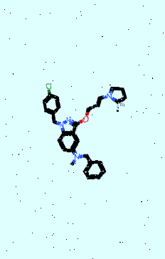 C[C@H]1CCCN1CCCOc1nn(Cc2ccc(Cl)cc2)c2ccc(N(C)Cc3ccccc3)cc12